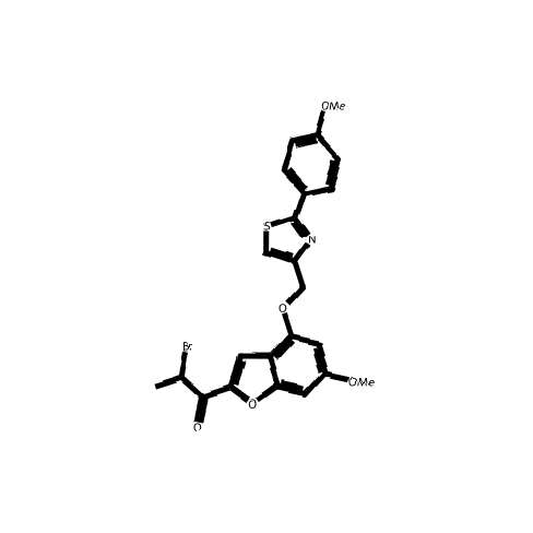 COc1ccc(-c2nc(COc3cc(OC)cc4oc(C(=O)C(C)Br)cc34)cs2)cc1